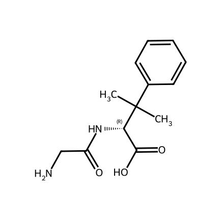 CC(C)(c1ccccc1)[C@@H](NC(=O)CN)C(=O)O